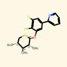 CC(=O)O[C@@H]1[C@@H](OC(C)=O)[C@H](OC(C)=O)CS[C@H]1Oc1cc(-c2ccccn2)cc(F)c1F